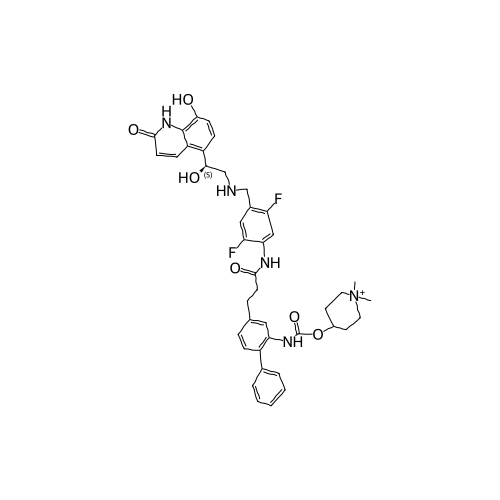 C[N+]1(C)CCC(OC(=O)Nc2cc(CCC(=O)Nc3cc(F)c(CNC[C@@H](O)c4ccc(O)c5[nH]c(=O)ccc45)cc3F)ccc2-c2ccccc2)CC1